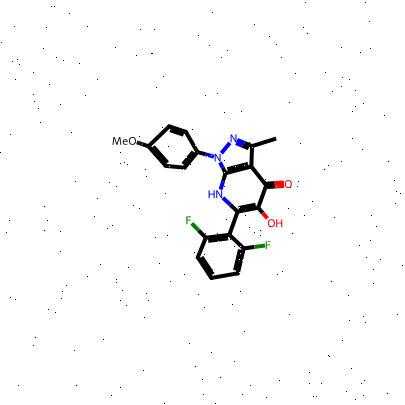 COc1ccc(-n2nc(C)c3c(=O)c(O)c(-c4c(F)cccc4F)[nH]c32)cc1